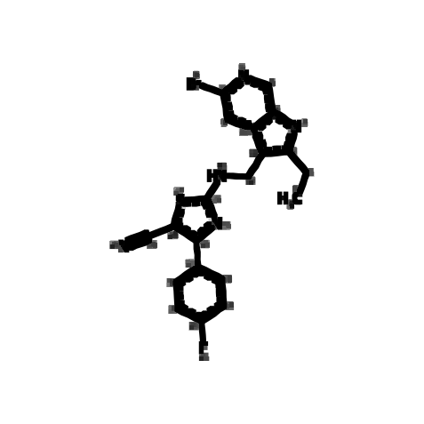 CCc1nc2cnc(Br)cn2c1CNc1nc(-c2ccc(F)cc2)c(C#N)s1